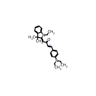 CCN(CC)c1ccc(/C=C/C(=O)C=C2N(CC)c3ccccc3C2(C)C)cc1